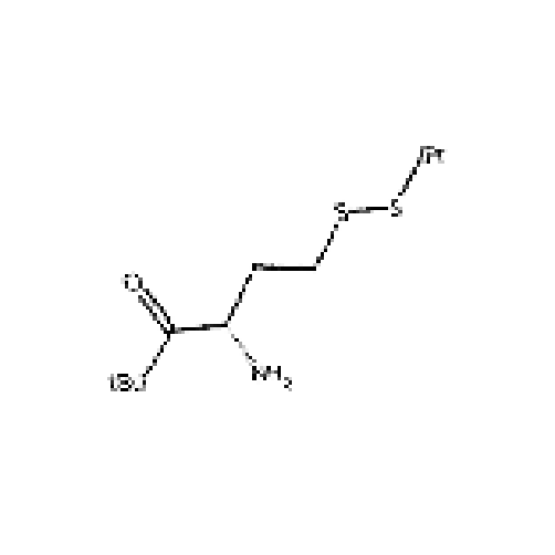 CC(C)SSCC[C@H](N)C(=O)C(C)(C)C